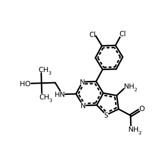 CC(C)(O)CNc1nc(-c2ccc(Cl)c(Cl)c2)c2c(N)c(C(N)=O)sc2n1